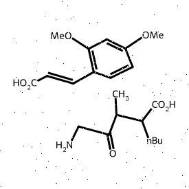 CCCCC(C(=O)O)C(C)C(=O)CN.COc1ccc(C=CC(=O)O)c(OC)c1